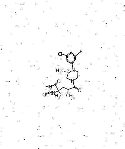 CC(CC1(C)NC(=O)NC1=O)C(=O)N1CCN(c2cc(F)cc(Cl)c2)[C@@H](C)C1